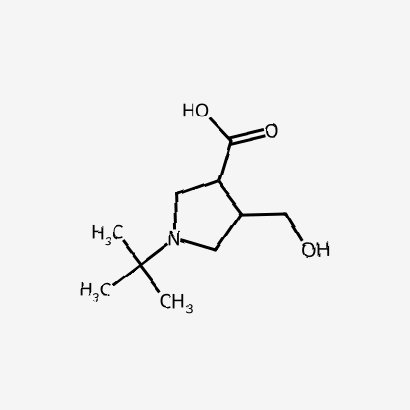 CC(C)(C)N1CC(CO)C(C(=O)O)C1